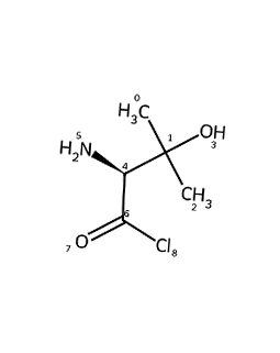 CC(C)(O)[C@H](N)C(=O)Cl